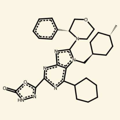 C[C@H]1CC[C@H](Cn2c(N3CCOC[C@H]3c3ccccc3)nc3nc(-c4n[nH]c(=O)o4)nc(C4CCCCC4)c32)CC1